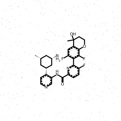 C[C@@H]1C[C@H](N)C[C@H](c2ccncc2NC(=O)c2ccc(F)c(-c3c(F)cc4c(c3F)OCCC4(C)O)n2)C1